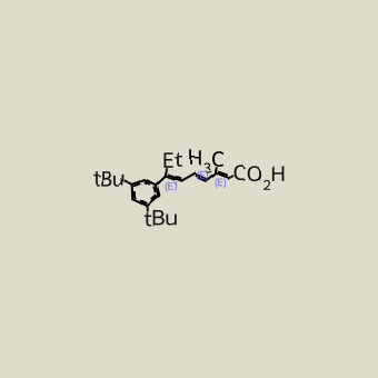 CC\C(=C/C=C/C(C)=C/C(=O)O)c1cc(C(C)(C)C)cc(C(C)(C)C)c1